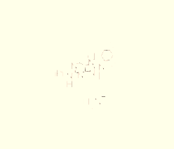 CC(C)Nc1ncc2nc(Nc3c(Cl)cc(Cl)cc3Cl)n([C@H]3CC[C@H](C(N)=O)CC3)c2n1